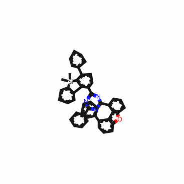 C[Si]1(C)c2ccccc2-c2c(-c3nc(-c4ccccc4)nc(-c4cccc5oc6cccc(-c7ccccc7)c6c45)n3)ccc(-c3ccccc3)c21